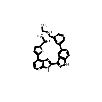 CCNCc1cncc(-c2cc3c(-c4nc5c(-c6ccc(C(C)=O)s6)ccnc5[nH]4)n[nH]c3cn2)c1